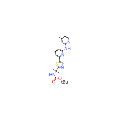 Cc1ccnc(Nc2cccc(-c3cnc(C(C)(C)NC(=O)OC(C)(C)C)s3)n2)c1